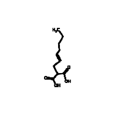 CCCCC=CCC(C(=O)O)C(=O)O